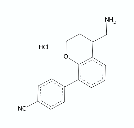 Cl.N#Cc1ccc(-c2cccc3c2OCCC3CN)cc1